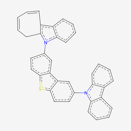 C1=CCc2c(c3ccccc3n2-c2ccc3sc4ccc(-n5c6ccccc6c6ccccc65)cc4c3c2)C=C1